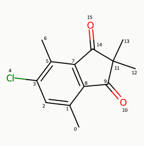 Cc1cc(Cl)c(C)c2c1C(=O)C(C)(C)C2=O